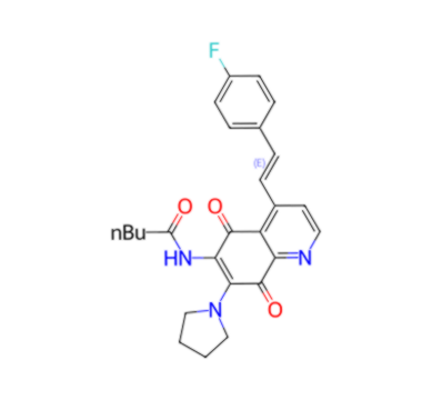 CCCCC(=O)NC1=C(N2CCCC2)C(=O)c2nccc(/C=C/c3ccc(F)cc3)c2C1=O